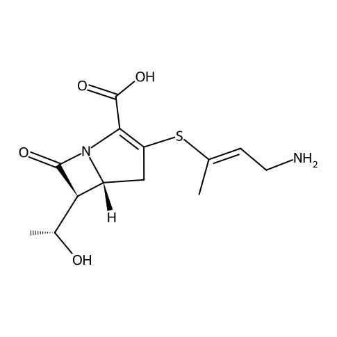 C/C(=C\CN)SC1=C(C(=O)O)N2C(=O)[C@H]([C@@H](C)O)[C@H]2C1